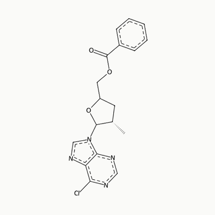 C[C@H]1CC(COC(=O)c2ccccc2)OC1n1cnc2c(Cl)ncnc21